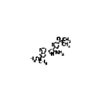 CN(C)C(=O)c1ccc(-c2cc(-c3ccnc4cc(N(C)C)ccc34)cnc2N)nc1